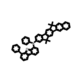 CC1(C)c2cc(N(c3ccccc3)c3cccc4c3oc3c(-c5ccccc5)cccc34)ccc2-c2cc3c(cc21)-c1cc2ccccc2cc1C3(C)C